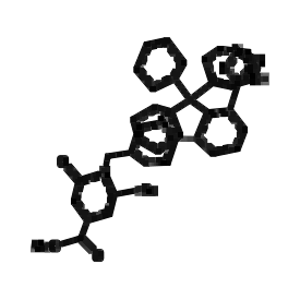 CCCCc1cc(C(=O)OC)cc(=O)n1Cc1ccc(-c2cccc(-c3nnn[nH]3)c2C(c2ccccc2)(c2ccccc2)c2ccccc2)nc1